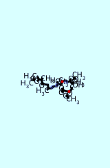 CCC(OC(C)=O)C(C)C1OC1CC(C)/C=C/C=C(\C)C1OC(=O)CC(OC(C)=O)CCC(C)(O)C(OC(C)=O)/C=C/C1C